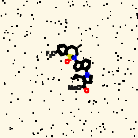 COC(=O)c1ccn(-c2cccc3c2CCC3N2C[C@@H](C)Cc3ccc(C(F)(F)F)cc3[S+]2[O-])c1C1CC1